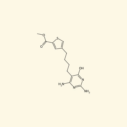 COC(=O)c1cc(CCCCc2c(N)nc(N)nc2O)cs1